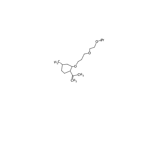 C=C(C)C1CCC(C)CC1OCCCOCCOC(C)C